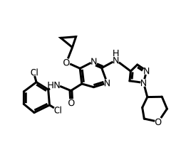 O=C(Nc1c(Cl)cccc1Cl)c1cnc(Nc2cnn(C3CCOCC3)c2)nc1OC1CC1